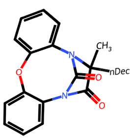 CCCCCCCCCCC1(C)C(=O)n2c(=O)n1c1ccccc1oc1ccccc12